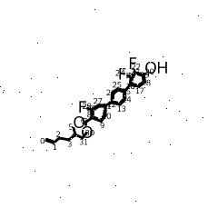 C=CCCC1COC(c2ccc(-c3ccc(-c4ccc(O)c(F)c4F)cc3)cc2F)OC1